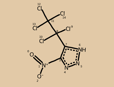 O=[N+]([O-])c1nn[nH]c1C(Cl)(Cl)C(Cl)(Cl)Cl